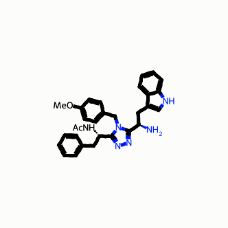 COc1ccc(Cn2c([C@H](N)Cc3c[nH]c4ccccc34)nnc2[C@H](Cc2ccccc2)NC(C)=O)cc1